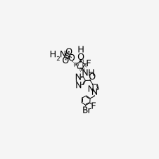 NS(=O)(=O)OC[C@H]1C[C@@H](Nc2ncncc2C(=O)c2ccn(Cc3cccc(Br)c3F)n2)[C@@H](F)[C@@H]1O